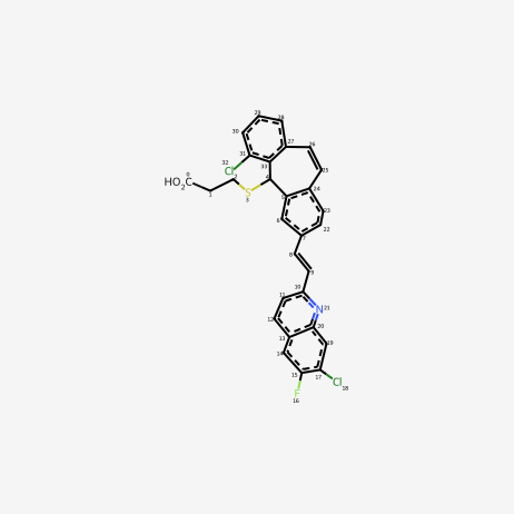 O=C(O)CCSC1c2cc(/C=C/c3ccc4cc(F)c(Cl)cc4n3)ccc2C=Cc2cccc(Cl)c21